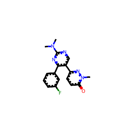 CN(C)c1ncc(-c2ccc(=O)n(C)n2)c(-c2cccc(F)c2)n1